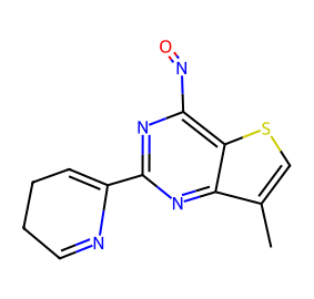 Cc1csc2c(N=O)nc(C3=CCCC=N3)nc12